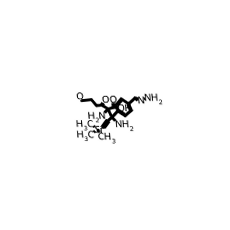 C[Si](C)(C)C#CC(N)(c1ccc(C=NN)cc1)C(N)(C(=O)O)C(=O)CCC=O